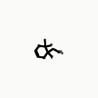 CCC1(F)OC=COC1(F)F